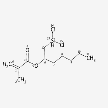 C=C(C)C(=O)OC(CCCCC)C[SiH](Cl)Cl